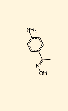 C/C(=N\O)c1ccc(N)cc1